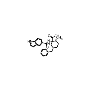 CC(=O)C1(NC(=O)c2ccc3[nH]ccc3c2)CC(Cc2ccccc2)CCN1C